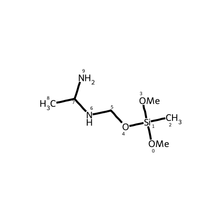 CO[Si](C)(OC)OCNC(C)N